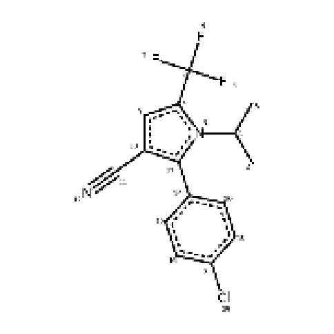 CC(C)n1c(C(F)(F)F)cc(C#N)c1-c1ccc(Cl)cc1